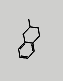 CC1[C]c2ccccc2CC1